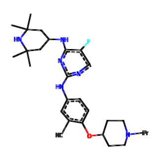 CC(C)N1CCC(Oc2ccc(Nc3ncc(F)c(NC4CC(C)(C)NC(C)(C)C4)n3)cc2C#N)CC1